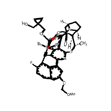 COCOc1cc(-c2nc3c4c(nc(OCC5(CO)CC5)nc4c2F)N2C[C@H]4CC[C@@H]([C@H]2[C@H](C)O3)N4C(=O)OC(C)(C)C)c2c(C#C[Si](C(C)C)(C(C)C)C(C)C)c(F)ccc2c1